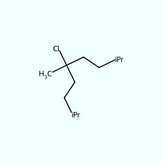 CC(C)CCC(C)(Cl)CCC(C)C